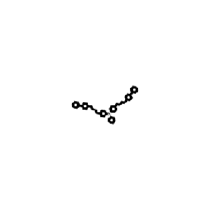 C(C=Cc1ccc(N(c2ccccc2)c2ccc(C=CC=Cc3ccc(-c4ccccc4)cc3)cc2)cc1)=Cc1ccc(-c2ccccc2)cc1